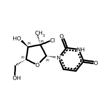 C[C@@]1(Cl)[C@H](O)[C@@H](CO)O[C@H]1n1ccc(=O)[nH]c1=O